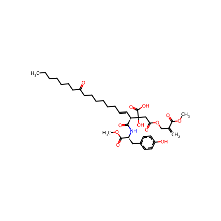 C=C(COC(=O)C[C@@](O)(C(=O)O)[C@H](/C=C/CCCCCCC(=O)CCCCCCC)C(=O)N[C@@H](Cc1ccc(O)cc1)C(=O)OC)C(=O)OC